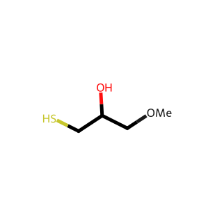 COCC(O)CS